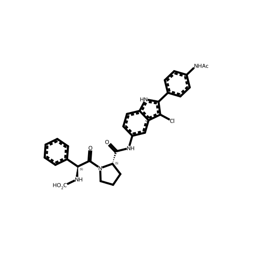 CC(=O)Nc1ccc(-c2[nH]c3ccc(NC(=O)[C@@H]4CCCN4C(=O)[C@@H](NC(=O)O)c4ccccc4)cc3c2Cl)cc1